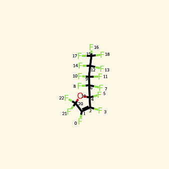 FC1=C(F)C(F)(C(F)(F)C(F)(F)C(F)(F)C(F)(F)F)OC1(F)F